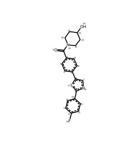 O=C(c1ccc(-c2cnc(-c3ccc(F)cc3)s2)cc1)N1CCC(O)CC1